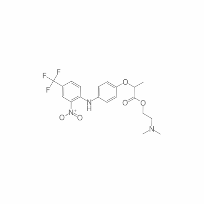 CC(Oc1ccc(Nc2ccc(C(F)(F)F)cc2[N+](=O)[O-])cc1)C(=O)OCCN(C)C